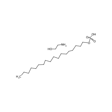 CCCCCCCCCCCCCCCCCCOS(=O)(=O)O.NCCO